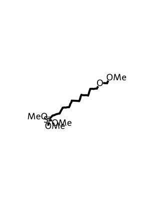 COCOCCCCCCCCCC[Si](OC)(OC)OC